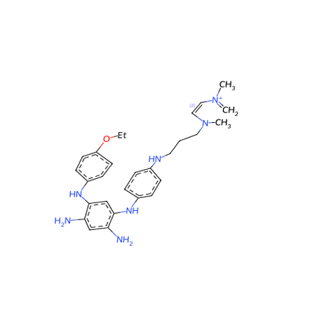 C=[N+](C)/C=C\N(C)CCCNc1ccc(Nc2cc(Nc3ccc(OCC)cc3)c(N)cc2N)cc1